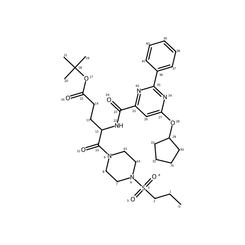 CCCS(=O)(=O)N1CCN(C(=O)C(CCC(=O)OC(C)(C)C)NC(=O)c2cc(OC3CCCC3)nc(-c3ccccc3)n2)CC1